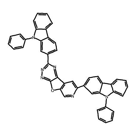 c1ccc(-n2c3ccccc3c3ccc(-c4cc5c(cn4)oc4nnc(-c6ccc7c8ccccc8n(-c8ccccc8)c7c6)nc45)cc32)cc1